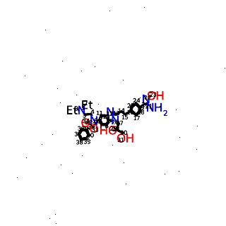 CCN(CC)CCN(c1ccc2c(c1)nc(CCc1ccc(C(N)=NO)cc1)n2CC(O)CO)S(=O)(=O)c1ccccc1